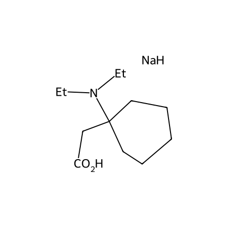 CCN(CC)C1(CC(=O)O)CCCCC1.[NaH]